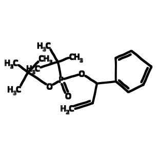 C=CC(OP(=O)(OC(C)(C)C)C(C)(C)C)c1ccccc1